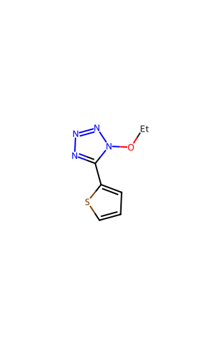 CCOn1nnnc1-c1cccs1